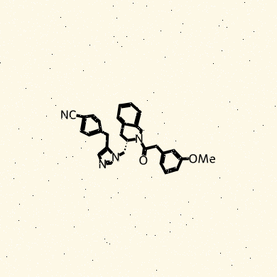 COc1cccc(CC(=O)N2Cc3ccccc3C[C@H]2Cn2cncc2Cc2ccc(C#N)cc2)c1